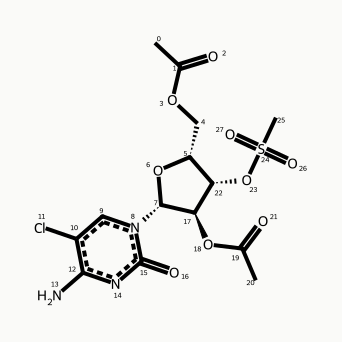 CC(=O)OC[C@H]1O[C@@H](n2cc(Cl)c(N)nc2=O)[C@H](OC(C)=O)[C@H]1OS(C)(=O)=O